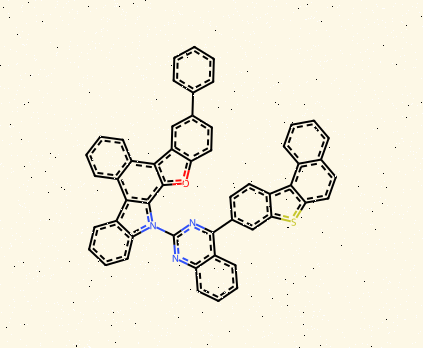 c1ccc(-c2ccc3oc4c(c3c2)c2ccccc2c2c3ccccc3n(-c3nc(-c5ccc6c(c5)sc5ccc7ccccc7c56)c5ccccc5n3)c42)cc1